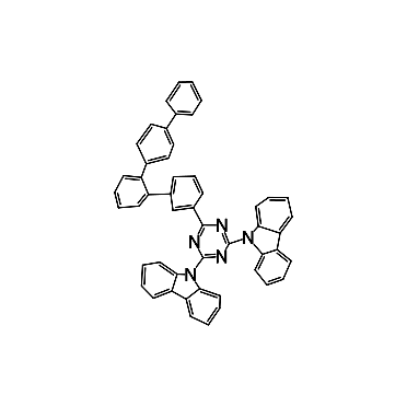 c1ccc(-c2ccc(-c3ccccc3-c3cccc(-c4nc(-n5c6ccccc6c6ccccc65)nc(-n5c6ccccc6c6ccccc65)n4)c3)cc2)cc1